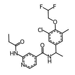 CCC(=O)Nc1cc(C(=O)NC(C)c2cc(C)c(OCC(F)F)c(Cl)c2)ccn1